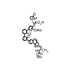 COc1nc(-c2cccc(-c3cccc(-c4ccn5c(=O)c(CNC[C@H](C)NC(=O)OC(C)(C)C)cnc5c4)c3Cl)c2Cl)ccc1CN(C[C@@H]1CCC(=O)N1)C(=O)O